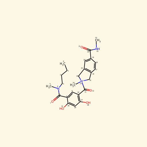 CCCCN(C)C(=O)c1cc(C(=O)[N+]2(C)Cc3ccc(C(=O)NC)cc3C2)c(O)cc1O